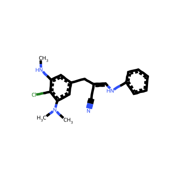 CNc1cc(CC(C#N)=CNc2ccccc2)cc(N(C)C)c1Cl